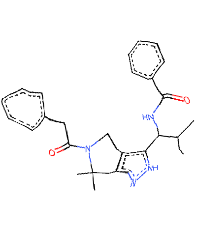 CC(C)C(NC(=O)c1ccccc1)c1[nH]nc2c1CN(C(=O)Cc1ccccc1)C2(C)C